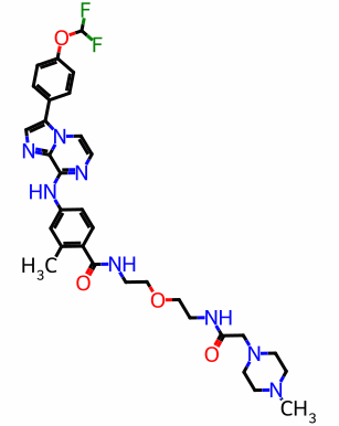 Cc1cc(Nc2nccn3c(-c4ccc(OC(F)F)cc4)cnc23)ccc1C(=O)NCCOCCNC(=O)CN1CCN(C)CC1